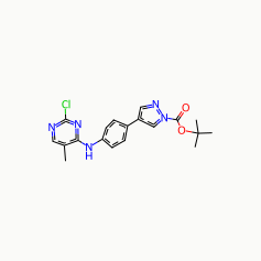 Cc1cnc(Cl)nc1Nc1ccc(-c2cnn(C(=O)OC(C)(C)C)c2)cc1